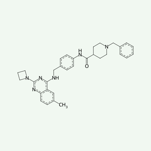 Cc1ccc2nc(N3CCC3)nc(NCc3ccc(NC(=O)C4CCN(Cc5ccccc5)CC4)cc3)c2c1